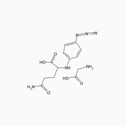 NCC(=O)O.[N-]=[N+]=Nc1ccc(NC(CCC(N)=O)C(=O)O)cc1